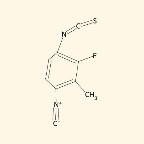 [C-]#[N+]c1ccc(N=C=S)c(F)c1C